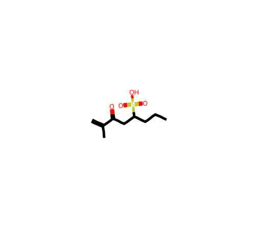 C=C(C)C(=O)C[C](CCC)S(=O)(=O)O